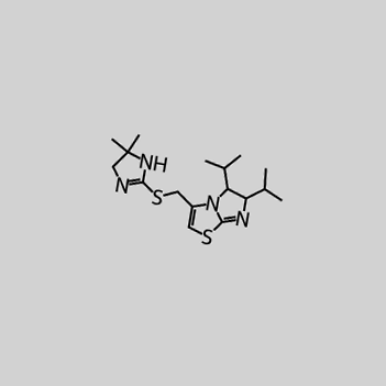 CC(C)C1N=C2SC=C(CSC3=NCC(C)(C)N3)N2C1C(C)C